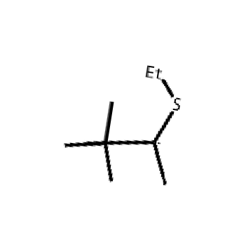 CCS[C](C)C(C)(C)C